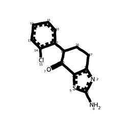 Nc1nc2c(s1)C(=O)C(c1ccccc1Cl)CC2